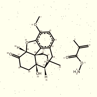 C=C(C)C(=O)ON.COc1ccc2c3c1O[C@H]1C(=O)CC[C@@]4(O)[C@@H](C2)N(C)CC[C@]314